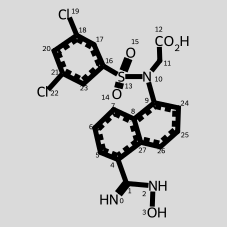 N=C(NO)c1cccc2c(N(CC(=O)O)S(=O)(=O)c3cc(Cl)cc(Cl)c3)cccc12